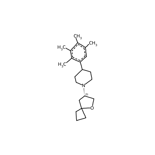 Cc1cc(C2CCN([C@@H]3COC4(CCC4)C3)CC2)c(C)c(C)c1C